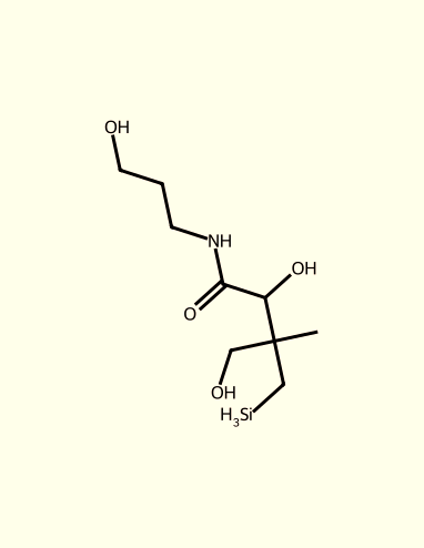 CC(CO)(C[SiH3])C(O)C(=O)NCCCO